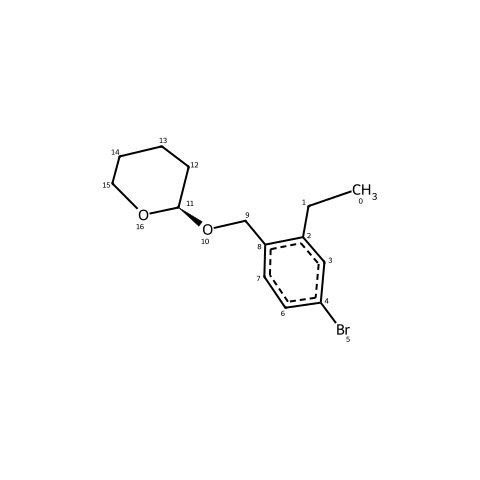 CCc1cc(Br)ccc1CO[C@@H]1CCCCO1